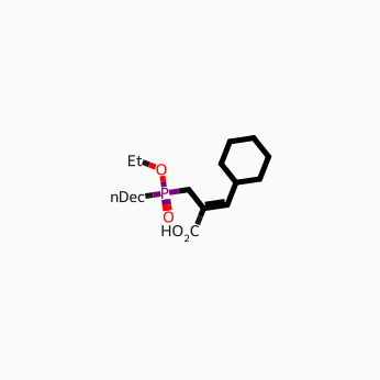 CCCCCCCCCCP(=O)(CC(=CC1CCCCC1)C(=O)O)OCC